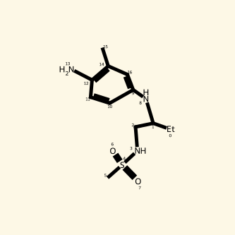 CCC(CNS(C)(=O)=O)Nc1ccc(N)c(C)c1